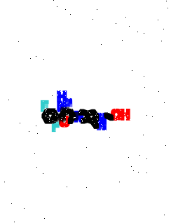 N[C@H]1C[C@@H](N2CC3Cc4c(cnn4CCO)C3C2)CO[C@@H]1c1cc(F)ccc1F